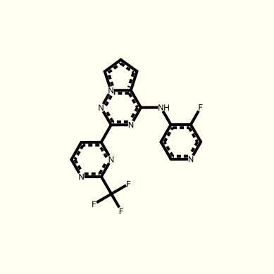 Fc1cnccc1Nc1nc(-c2ccnc(C(F)(F)F)n2)nn2cccc12